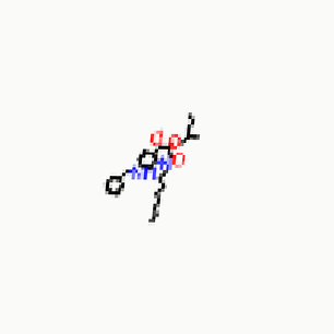 CCCCCCCCn1c(=O)c(OCC(C)CCC)c(OC)c2ccc(NCc3ccccc3)cc21